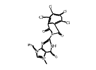 CC(C)n1c[n+](C)c2c(=O)[nH]c(N3C(=O)c4c(Cl)c(Cl)c(Cl)c(Cl)c4C3=O)nc21